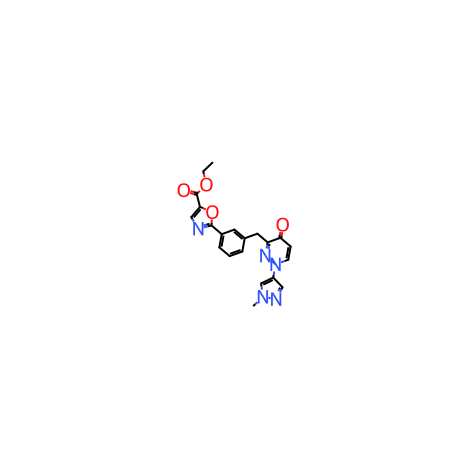 CCOC(=O)c1cnc(-c2cccc(Cc3nn(-c4cnn(C)c4)ccc3=O)c2)o1